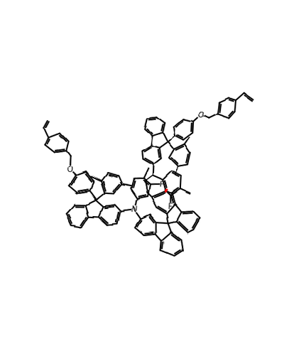 C=Cc1ccc(COc2ccc(C3(c4cc(C)ccc4C)c4ccccc4-c4ccc(C(CCc5ccc6c(c5)C5(c7ccccc7-6)c6ccccc6-c6ccc(N(c7ccc(C)c(F)c7)c7ccc8c(c7)C(c7ccc(OCc9ccc(C=C)cc9)cc7)(c7cc(C)ccc7C)c7ccccc7-8)cc65)c5ccc(C)c(F)c5)cc43)cc2)cc1